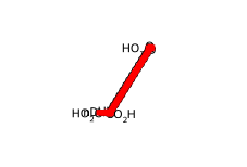 CCCCCCCCCCCC(CCCCCCCCCCC(=O)O)(C(=O)O)C(=O)NCCOCCOCCOCCOCCOCCOCCOCCOCCOCCOCCOCCOCCOCCOCCOCCOCCOCCOCCOCCOCCOCCOCCOCCOCC(C(=O)O)N1C(=O)CCC1=O